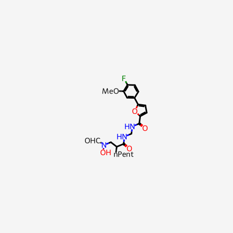 CCCCCC(CN(O)C=O)C(=O)NCNC(=O)c1ccc(-c2ccc(F)c(OC)c2)o1